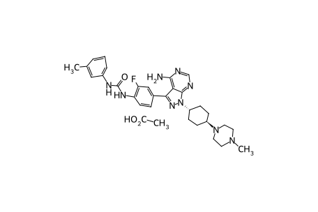 CC(=O)O.Cc1cccc(NC(=O)Nc2ccc(-c3nn([C@H]4CC[C@H](N5CCN(C)CC5)CC4)c4ncnc(N)c34)cc2F)c1